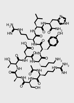 CC(=O)N[C@@H](CCCNC(=N)N)C(=O)N[C@@H](CO)C(=O)N[C@@H](C)C(=O)N[C@H](C(=O)N[C@@H](CC(=O)O)C(=O)N[C@@H](CCCCN)C(=O)N[C@@H](Cc1ccc(O)cc1)C(=O)N[C@@H](CCCNC(=N)N)C(=O)N[C@@H](CC(C)C)C(=O)N[C@@H](Cc1c[nH]cn1)C(N)=O)[C@@H](C)O